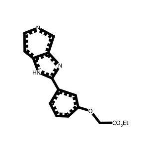 CCOC(=O)COc1cccc(-c2nc3cnccc3[nH]2)c1